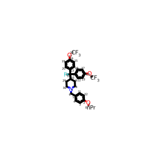 CCCOc1ccc(CN2CCC(C(F)(c3ccc(OC(F)(F)F)cc3)c3ccc(OC(F)(F)F)cc3)CC2)cc1